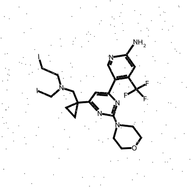 Nc1cc(C(F)(F)F)c(-c2cc(C3(CN(CI)CCI)CC3)nc(N3CCOCC3)n2)cn1